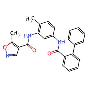 Cc1ccc(NC(=O)c2ccccc2-c2ccccc2)cc1NC(=O)c1cnoc1C